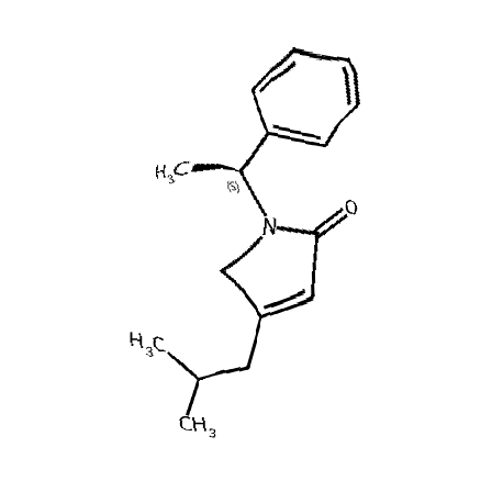 CC(C)CC1=CC(=O)N([C@@H](C)c2ccccc2)C1